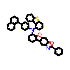 c1ccc(-c2nc3cc4c(cc3o2)oc2c(N(c3ccc(-c5cccc6ccccc56)cc3)c3cccc5sc6ccccc6c35)cccc24)cc1